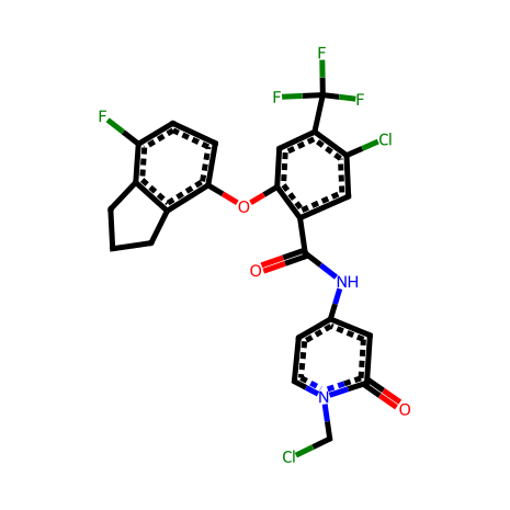 O=C(Nc1ccn(CCl)c(=O)c1)c1cc(Cl)c(C(F)(F)F)cc1Oc1ccc(F)c2c1CCC2